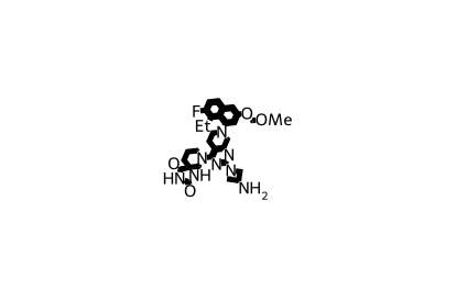 CCc1c(F)ccc2cc(OCOC)cc(N3CCc4c(nc(N5CC(N)C5)nc4N4CCCC5(C4)NC(=O)NC5=O)C3)c12